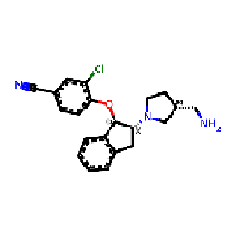 N#Cc1ccc(O[C@@H]2c3ccccc3C[C@H]2N2CC[C@H](CN)C2)c(Cl)c1